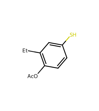 CCc1cc(S)ccc1OC(C)=O